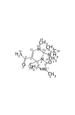 CNC(=O)N1C(C)(C)C(C(N)=O)=CN(C)C1(C)N(C)C